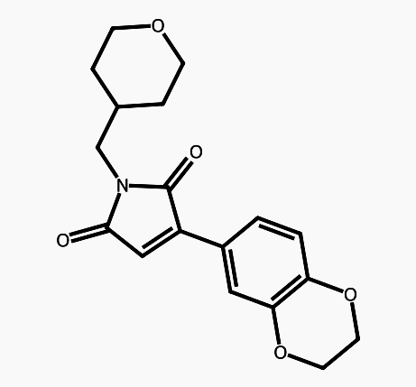 O=C1C=C(c2ccc3c(c2)OCCO3)C(=O)N1CC1CCOCC1